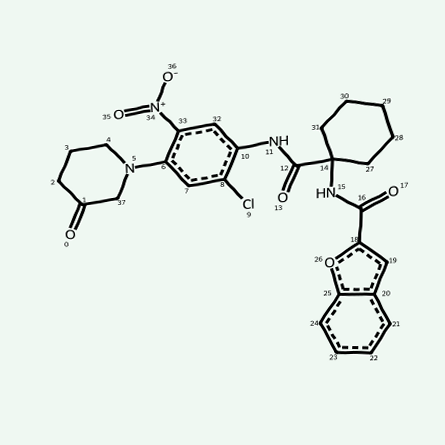 O=C1CCCN(c2cc(Cl)c(NC(=O)C3(NC(=O)c4cc5ccccc5o4)CCCCC3)cc2[N+](=O)[O-])C1